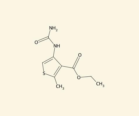 CCOC(=O)c1c(NC(N)=O)csc1C